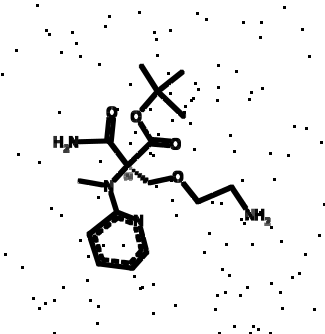 CN(c1ccccn1)[C@@](COCCN)(C(N)=O)C(=O)OC(C)(C)C